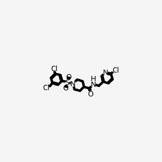 O=C(NCc1ccc(Cl)nc1)C1CCN(S(=O)(=O)c2cc(Cl)cc(Cl)c2)CC1